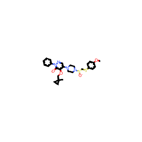 COc1ccc(SC[S+]([O-])N2CCN(c3cnn(-c4ccccc4)c(=O)c3OCC3(C)CC3)CC2)cc1